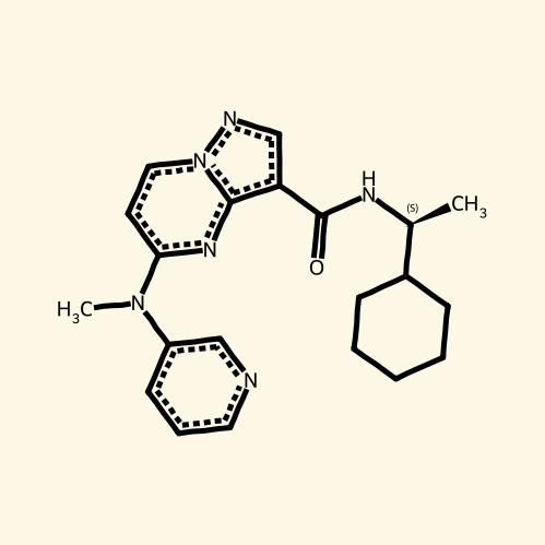 C[C@H](NC(=O)c1cnn2ccc(N(C)c3cccnc3)nc12)C1CCCCC1